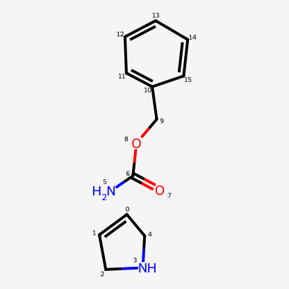 C1=CCNC1.NC(=O)OCc1ccccc1